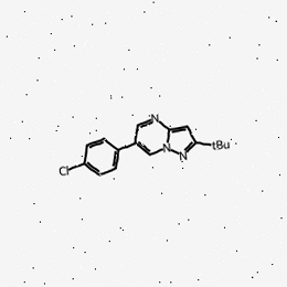 CC(C)(C)c1cc2ncc(-c3ccc(Cl)cc3)cn2n1